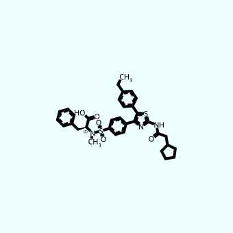 CCc1ccc(-c2sc(NC(=O)CC3CCCC3)nc2-c2ccc(S(=O)(=O)N(C)[C@@H](Cc3ccccc3)C(=O)O)cc2)cc1